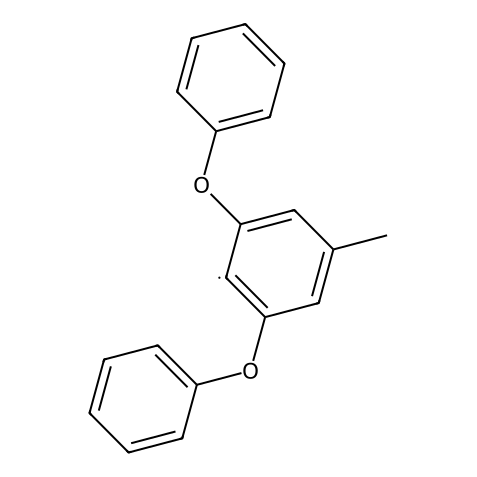 Cc1cc(Oc2ccccc2)[c]c(Oc2ccccc2)c1